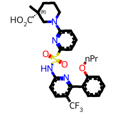 CCCOc1ccccc1-c1nc(NS(=O)(=O)c2cccc(N3CCC[C@@](C)(C(=O)O)C3)n2)ccc1C(F)(F)F